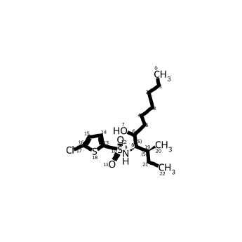 CCCCCCC(O)[C@@H](NS(=O)(=O)c1ccc(Cl)s1)[C@@H](C)CC